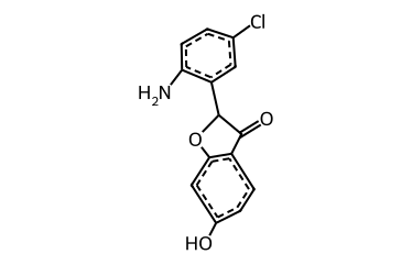 Nc1ccc(Cl)cc1C1Oc2cc(O)ccc2C1=O